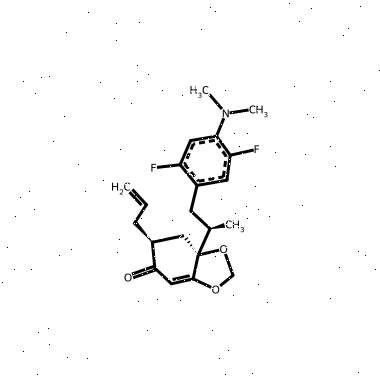 C=CC[C@H]1C[C@]2([C@H](C)Cc3cc(F)c(N(C)C)cc3F)OCOC2=CC1=O